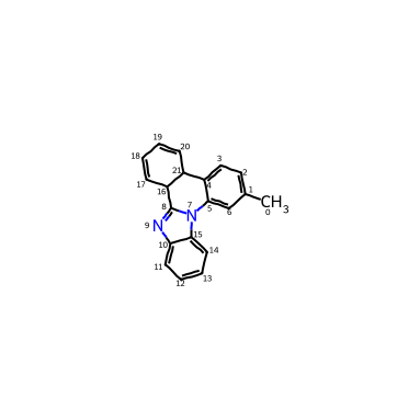 Cc1ccc2c(c1)-n1c(nc3ccccc31)C1C=CC=CC21